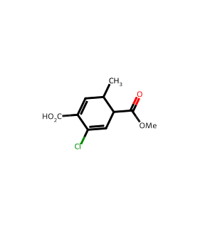 COC(=O)C1C=C(Cl)C(C(=O)O)=CC1C